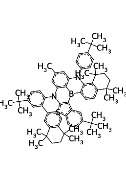 Cc1cc2c3c(c1)N(c1ccc(C(C)(C)C)cc1)c1c(ccc4c1C(C)(C)CCC4(C)C)B3c1c(sc3ccc(C(C)(C)C)cc13)N2c1ccc(C(C)(C)C)cc1-c1ccc2c(c1)C(C)(C)CCC2(C)C